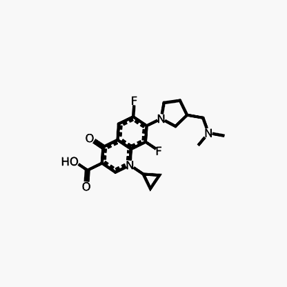 CN(C)CC1CCN(c2c(F)cc3c(=O)c(C(=O)O)cn(C4CC4)c3c2F)C1